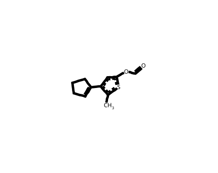 Cc1sc(OC=O)cc1C1=CCCC1